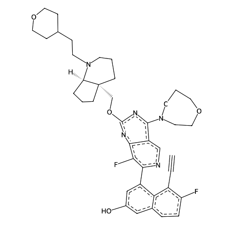 C#Cc1c(F)ccc2cc(O)cc(-c3ncc4c(N5CCCOCC5)nc(OC[C@]56CCC[C@H]5N(CCC5CCOCC5)CCC6)nc4c3F)c12